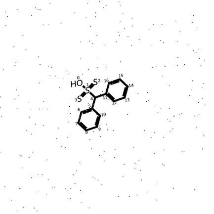 OS(=S)(=S)C(c1ccccc1)c1ccccc1